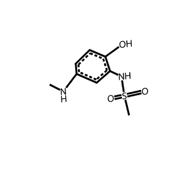 CNc1ccc(O)c(NS(C)(=O)=O)c1